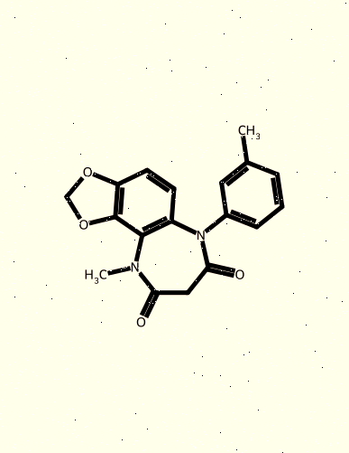 Cc1cccc(N2C(=O)CC(=O)N(C)c3c2ccc2c3OCO2)c1